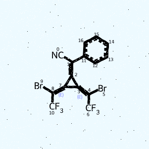 N#CC(=C1C(=C(\Br)C(F)(F)F)/C1=C(/Br)C(F)(F)F)c1ccccc1